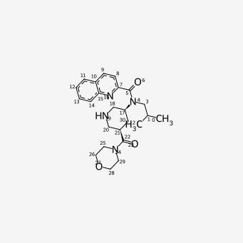 CC(C)CN(C(=O)c1ccc2ccccc2n1)[C@@H]1CNC[C@H](C(=O)N2CCOCC2)C1